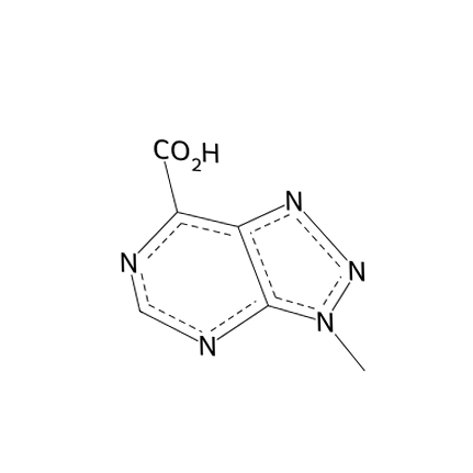 Cn1nnc2c(C(=O)O)ncnc21